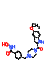 COc1ccc2[nH]c(C(=O)N3CCN(Cc4ccc(C(=O)NO)cc4)CC3)cc2c1